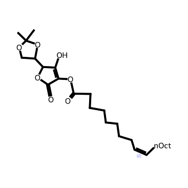 CCCCCCCC/C=C\CCCCCCCC(=O)OC1=C(O)C(C2COC(C)(C)O2)OC1=O